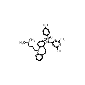 CN(C)CCCN1c2ccccc2CCc2ccccc21.Cc1cc(NS(=O)(=O)c2ccc(N)cc2)nc(C)n1